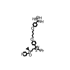 CC(C)c1nc(-c2ccc(OCCCCCOc3ccc(C(=N)NO)cc3)cc2)c(CCN(C(=O)c2ccncc2)C2CC2)s1